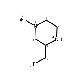 CC(C)N1CCNC(CF)C1